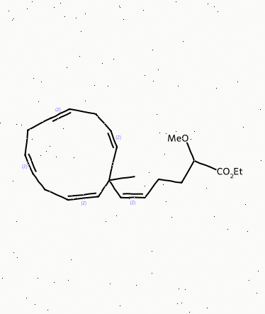 CCOC(=O)C(CC/C=C\C1(C)/C=C\C/C=C\C/C=C\C/C=C\1)OC